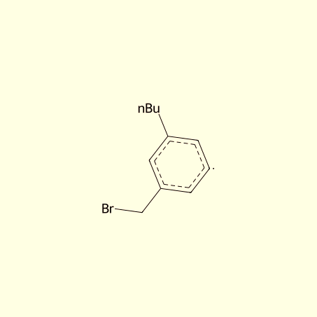 CCCCc1c[c]cc(CBr)c1